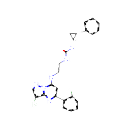 O=C(NCCNc1cc(-c2ccccc2Cl)nc2c(Br)cnn12)N[C@@H]1C[C@H]1c1ccccc1